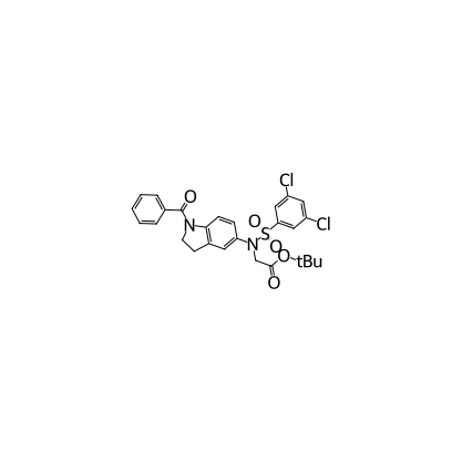 CC(C)(C)OC(=O)CN(c1ccc2c(c1)CCN2C(=O)c1ccccc1)S(=O)(=O)c1cc(Cl)cc(Cl)c1